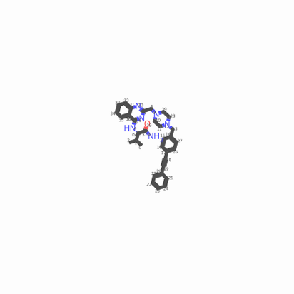 CC(C)[C@H](Nc1nc(CN2CCN(Cc3ccc(C#Cc4ccccc4)cc3)CC2)nc2ccccc12)C(N)=O